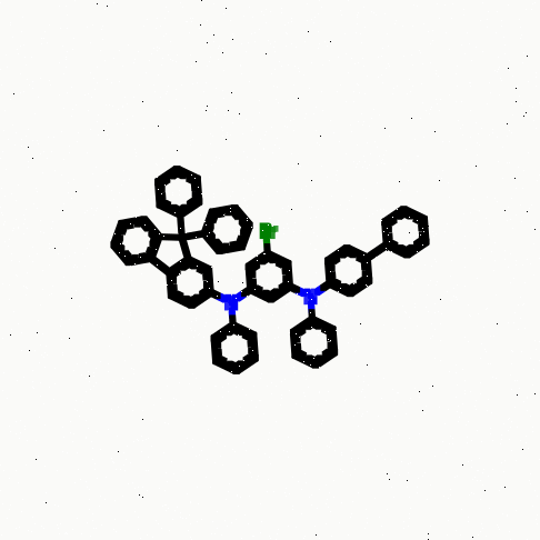 Brc1cc(N(c2ccccc2)c2ccc(-c3ccccc3)cc2)cc(N(c2ccccc2)c2ccc3c(c2)C(c2ccccc2)(c2ccccc2)c2ccccc2-3)c1